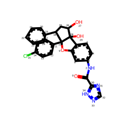 O=C(Nc1ccc2c(c1)OC1(c3ccc(Cl)cc3)C(c3ccccc3)CC(O)C21O)c1ncn[nH]1